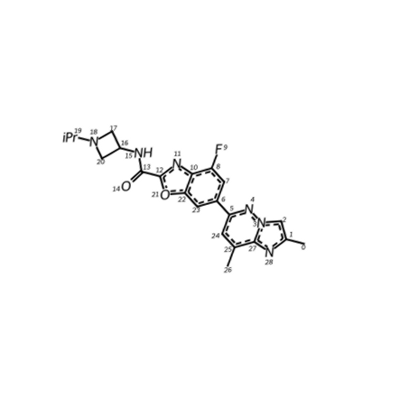 Cc1cn2nc(-c3cc(F)c4nc(C(=O)NC5CN(C(C)C)C5)oc4c3)cc(C)c2n1